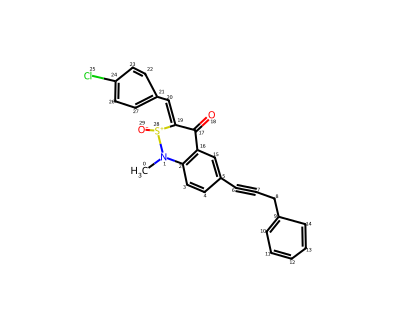 CN1c2ccc(C#CCc3ccccc3)cc2C(=O)/C(=C/c2ccc(Cl)cc2)[S+]1[O-]